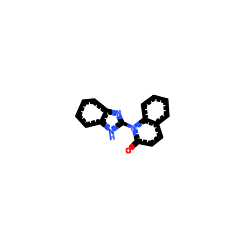 O=c1ccc2ccccc2n1-c1nc2ccccc2[nH]1